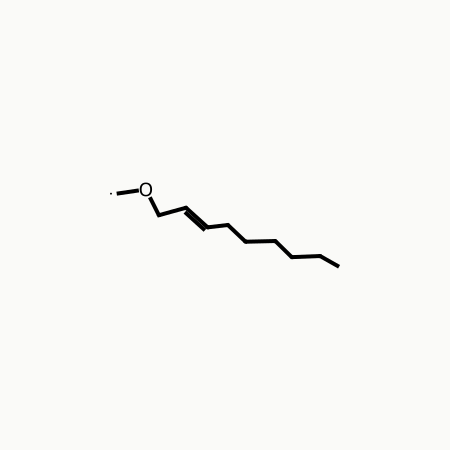 [CH2]OCC=CCCCCCC